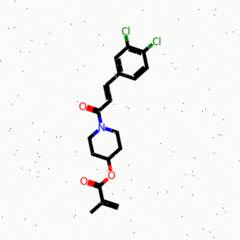 C=C(C)C(=O)OC1CCN(C(=O)/C=C/c2ccc(Cl)c(Cl)c2)CC1